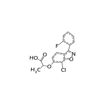 CC(Oc1ccc2c(-c3ccccc3F)noc2c1Cl)C(=O)O